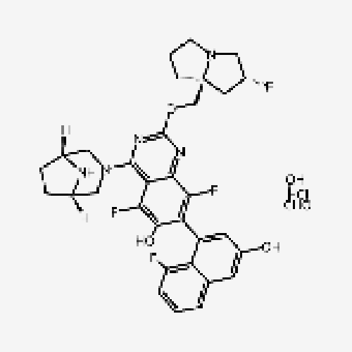 Cl.O=CO.Oc1cc(-c2c(O)c(F)c3c(N4C[C@H]5CC[C@@H](C4)N5)nc(OC[C@@]45CCCN4C[C@H](F)C5)nc3c2F)c2c(F)cccc2c1